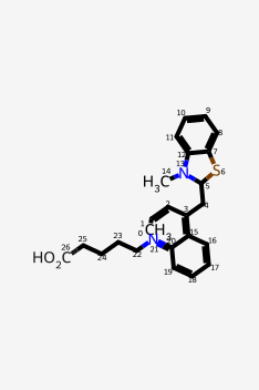 C\C=C/C(CC1Sc2ccccc2N1C)=C1/C=CC=C/C1=N\CCCCC(=O)O